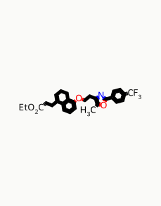 CCOC(=O)CCC1=CCCc2c(OCCc3nc(-c4ccc(C(F)(F)F)cc4)oc3C)cccc21